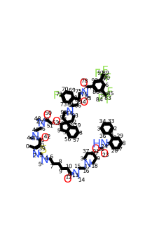 Cc1nc(N(C)CCCCCC(=O)N(C)CCN2CCC(OC(=O)Nc3ccccc3-c3ccccc3)CC2)sc1C(=O)N(C)CCN(C)C(=O)CO[C@H]1Cc2ccccc2C12CCN(CC[C@@]1(c3ccc(F)cc3)CN(C(=O)c3cc(C(F)(F)F)cc(C(F)(F)F)c3)CO1)CC2